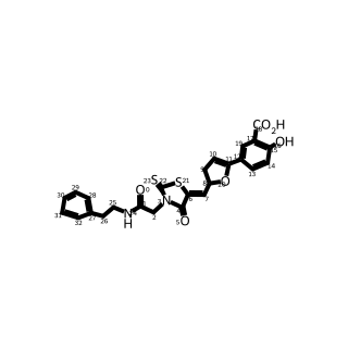 O=C(CN1C(=O)/C(=C/C2CC=C(c3ccc(O)c(C(=O)O)c3)O2)SC1=S)NCCc1ccccc1